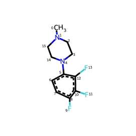 CN1CCN(c2ccc(F)c(F)c2F)CC1